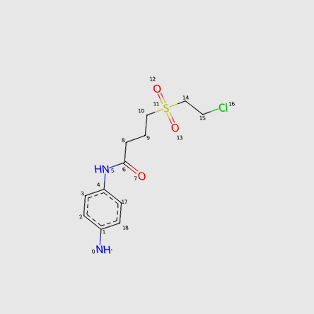 [NH]c1ccc(NC(=O)CCCS(=O)(=O)CCCl)cc1